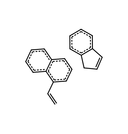 C1=Cc2ccccc2C1.C=Cc1cccc2ccccc12